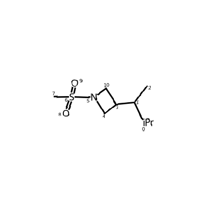 CC(C)C(C)C1CN(S(C)(=O)=O)C1